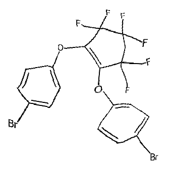 FC1(F)C(Oc2ccc(Br)cc2)=C(Oc2ccc(Br)cc2)C(F)(F)C1(F)F